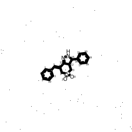 O=S1(=O)CC(=Cc2ccccc2)C2=NNC(c3ccccc3)C2C1